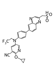 N#Cc1cc(N(CC(F)(F)F)c2ccc(-c3ccc4nc(C[SH](=O)=O)cnc4c3)cc2)cnc1OC1CC1